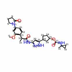 COc1cc(N2CCCC2=O)ccc1C(C)C(=O)Nc1cc(C2CCC(OC(=O)NC3(C)CC3)C2)[nH]n1